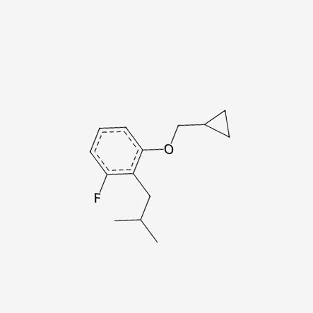 CC(C)Cc1c(F)cccc1OCC1CC1